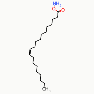 CCCCCCCC/C=C\CCCCCCCCCC(=O)ON